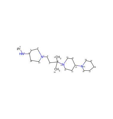 CC(C)NC1CCN(CCC(C)(C)N2CCC(N3CCCCC3)CC2)CC1